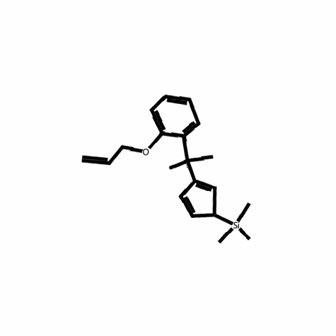 C=CCOc1ccccc1C(C)(C)C1=CC([Si](C)(C)C)C=C1